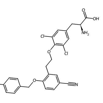 N#Cc1ccc(OCc2ccc(F)cc2)c(CCOc2c(Cl)cc(C[C@H](N)C(=O)O)cc2Cl)c1